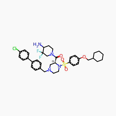 NC1CCN(C(=O)[C@@H]2CN(Cc3ccc(-c4ccc(Cl)cc4)cc3)CCN2S(=O)(=O)c2ccc(OCC3CCCCC3)cc2)CC1(F)F